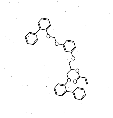 C=CC(=O)OC(COc1cccc(OCOc2ccccc2-c2ccccc2)c1)COc1ccccc1-c1ccccc1